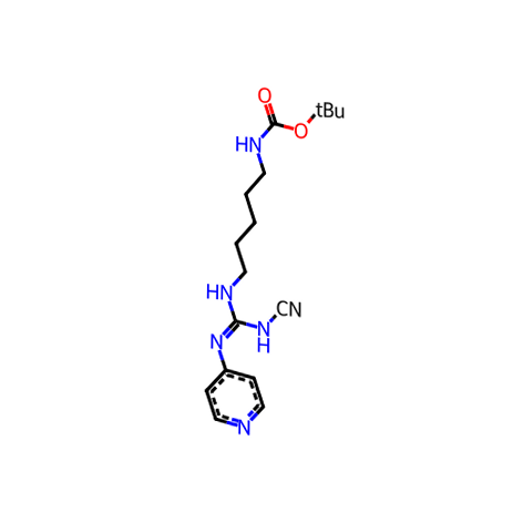 CC(C)(C)OC(=O)NCCCCCNC(=Nc1ccncc1)NC#N